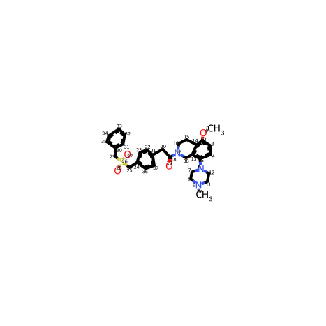 COc1ccc(N2CCN(C)CC2)c2c1CCN(C(=O)Cc1ccc(CS(=O)(=O)Cc3ccccc3)cc1)C2